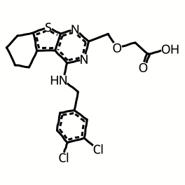 O=C(O)COCc1nc(NCc2ccc(Cl)c(Cl)c2)c2c3c(sc2n1)CCCC3